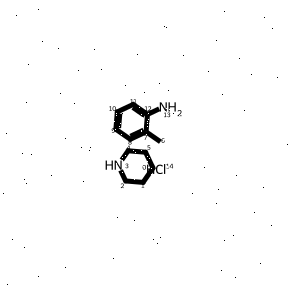 C1CCNCC1.Cc1ccccc1N.Cl